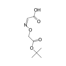 CC(C)(C)OC(=O)CO/N=C\C(=O)O